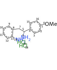 COc1ccc(C(N)Cc2ccccc2N)cc1.Cl.Cl